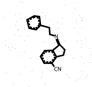 N#Cc1cccc2c1CC/C2=N/CCc1ccccc1